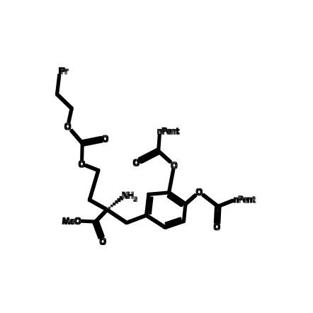 CCCCCC(=O)Oc1ccc(C[C@](N)(CCOC(=O)OCCC(C)C)C(=O)OC)cc1OC(=O)CCCCC